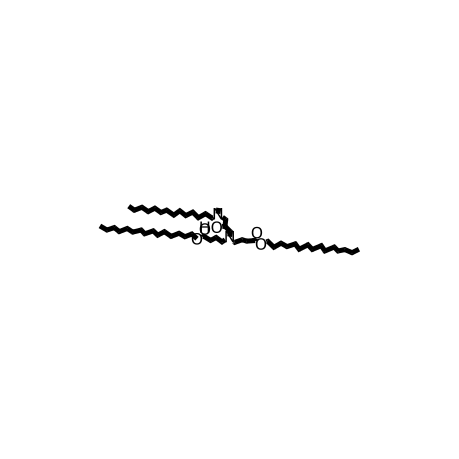 CCCCCCCCCCCCCCCOC(=O)CCCN(CCCC(=O)OCCCCCCCCCCCCCCC)CC(O)CN(C)CCCCCCCCCCCCCC